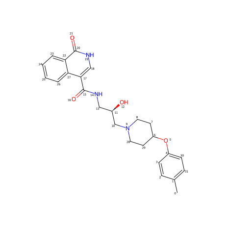 Cc1ccc(OC2CCN(C[C@H](O)CNC(=O)c3c[nH]c(=O)c4ccccc34)CC2)cc1